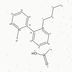 CC(=O)O.CCCCc1ccccc1-c1ccccc1I